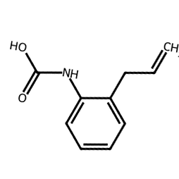 C=CCc1ccccc1NC(=O)O